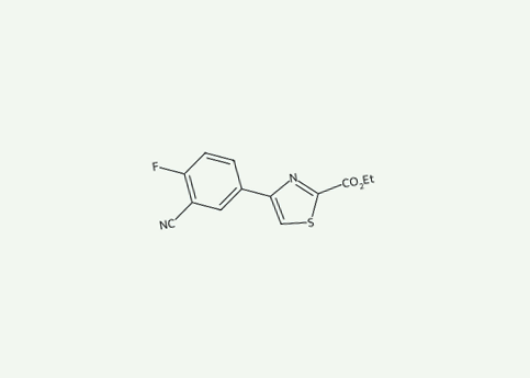 CCOC(=O)c1nc(-c2ccc(F)c(C#N)c2)cs1